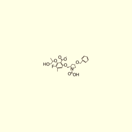 COC(=O)c1c(OC[C@H]2C[C@H](OCc3ccccc3)CN2C(=O)O)cc(C)c(F)c1OC(C)CO